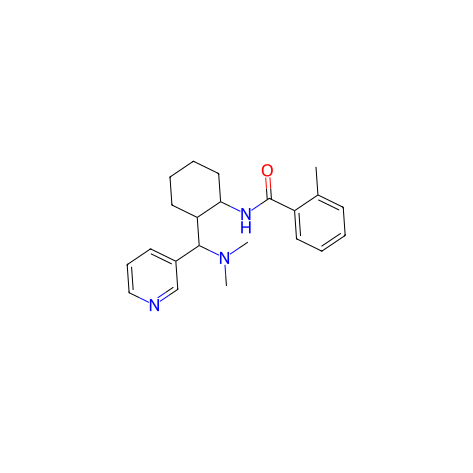 Cc1ccccc1C(=O)NC1CCCCC1C(c1cccnc1)N(C)C